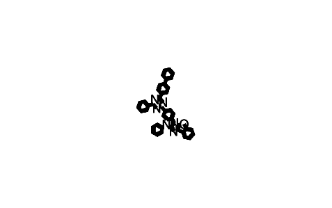 c1ccc(-c2ccc(-c3nc(-c4ccccc4)nc(-c4ccc5c(c4)n(-c4ccccc4)c4nc6c7ccccc7oc6n54)n3)cc2)cc1